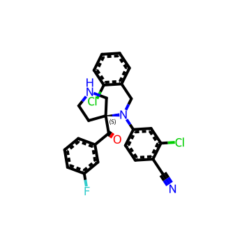 N#Cc1ccc(N(Cc2ccccc2Cl)[C@@]2(C(=O)c3cccc(F)c3)CCNC2)cc1Cl